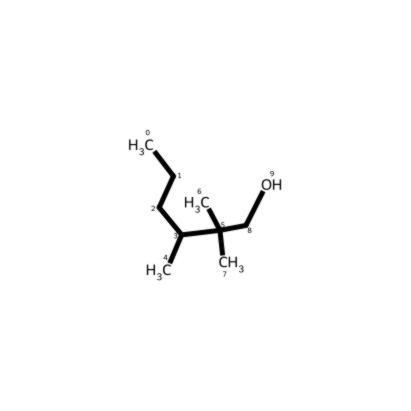 CCCC(C)C(C)(C)CO